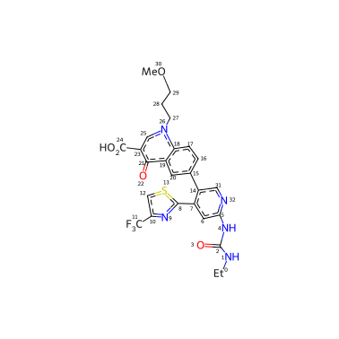 CCNC(=O)Nc1cc(-c2nc(C(F)(F)F)cs2)c(-c2ccc3c(c2)c(=O)c(C(=O)O)cn3CCCOC)cn1